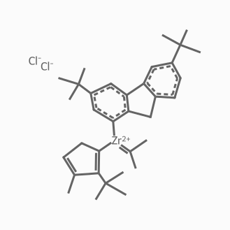 CC1=CC[C]([Zr+2](=[C](C)C)[c]2cc(C(C)(C)C)cc3c2Cc2ccc(C(C)(C)C)cc2-3)=C1C(C)(C)C.[Cl-].[Cl-]